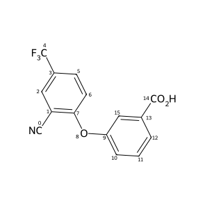 N#Cc1cc(C(F)(F)F)ccc1Oc1cccc(C(=O)O)c1